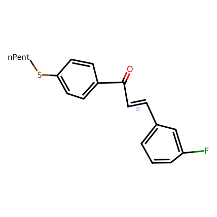 CCCCCSc1ccc(C(=O)/C=C/c2cccc(F)c2)cc1